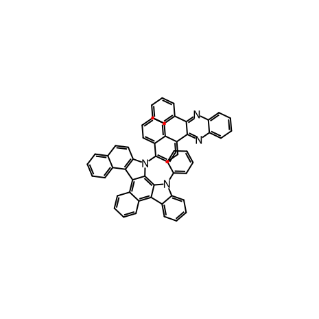 c1ccc(-c2nc3ccccc3nc2-c2ccc(-n3c4ccc5ccccc5c4c4c5ccccc5c5c6ccccc6n(-c6ccccc6)c5c43)c3ccccc23)cc1